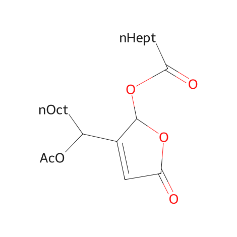 CCCCCCCCC(OC(C)=O)C1=CC(=O)OC1OC(=O)CCCCCCC